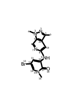 Cc1nn(C)c2cnc(Nc3cc(Br)cn(C)c3=O)cc12